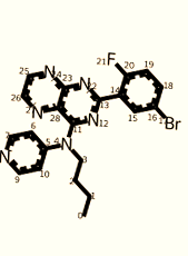 CCCCN(c1ccncc1)c1nc(-c2cc(Br)ccc2F)nc2nccnc12